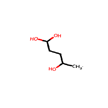 [CH2]C(O)CCC(O)O